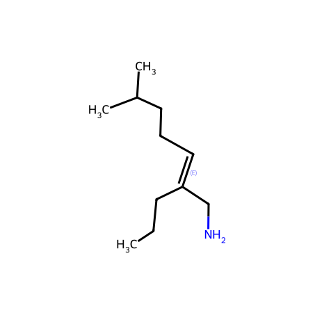 CCC/C(=C\CCC(C)C)CN